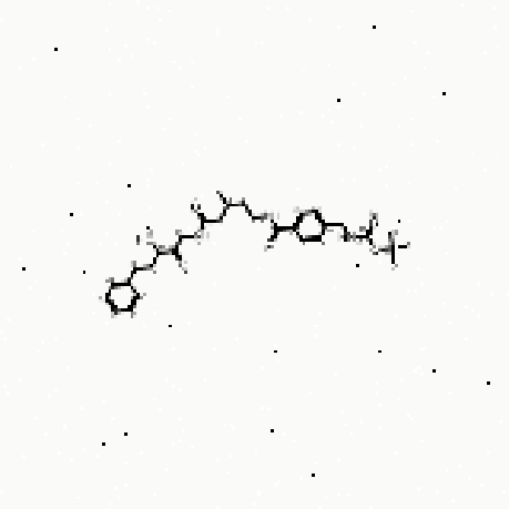 CC(CCNC(=O)c1ccc(CNC(=O)OC(C)(C)C)cc1)CC(=O)NCC(=O)C(O)CCc1ccccc1